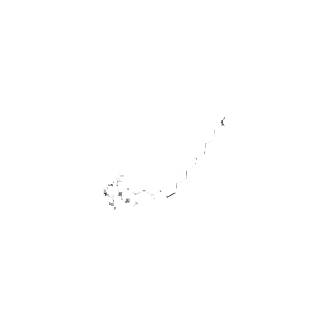 O=[C]CCCCCCCCC/C=C\CCCCCC([N+](=O)[O-])([N+](=O)[O-])[N+](=O)[O-]